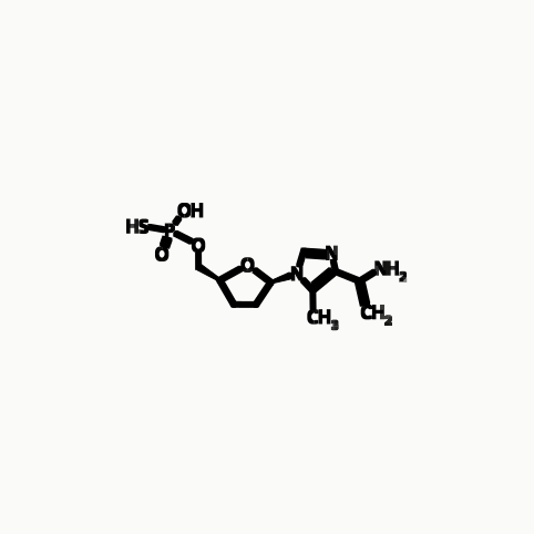 C=C(N)c1ncn([C@H]2CC[C@@H](COP(=O)(O)S)O2)c1C